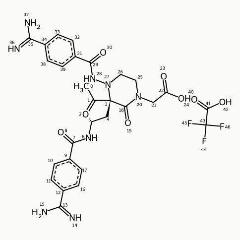 CC(=O)[C@@]1(CCNC(=O)c2ccc(C(=N)N)cc2)C(=O)N(CC(=O)O)CCN1NC(=O)c1ccc(C(=N)N)cc1.O=C(O)C(F)(F)F